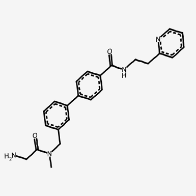 CN(Cc1cccc(-c2ccc(C(=O)NCCc3ccccn3)cc2)c1)C(=O)CN